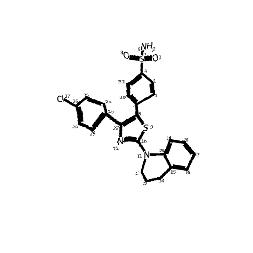 NS(=O)(=O)c1ccc(-c2sc(N3CCCc4ccccc43)nc2-c2ccc(Cl)cc2)cc1